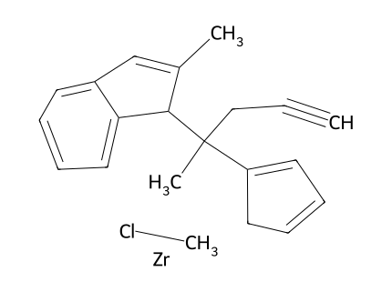 C#CCC(C)(C1=CC=CC1)C1C(C)=Cc2ccccc21.CCl.[Zr]